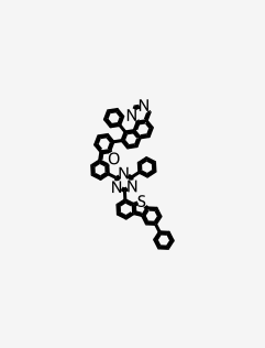 c1ccc(-c2ccc3sc4c(-c5nc(-c6ccccc6)nc(-c6cccc7c6oc6c(-c8ccc9ccc%10cncnc%10c9c8-c8ccccc8)cccc67)n5)cccc4c3c2)cc1